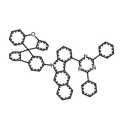 c1ccc(-c2nc(-c3ccccc3)nc(-c3cccc4c3c3cc5ccccc5cc3n4-c3ccc4c(c3)C3(c5ccccc5Oc5ccccc53)c3ccccc3-4)n2)cc1